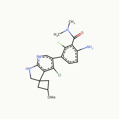 COC1CC2(CNc3ncc(-c4ccc(N)c(C(=O)N(C)C)c4F)c(Cl)c32)C1